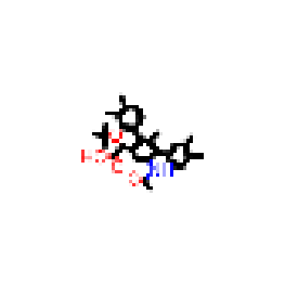 CC(=O)Nc1cc(C(OC(C)(C)C)C(=O)O)c(-c2ccc(C)c(C)c2)c(C)c1-c1ccc(C)c(C)c1